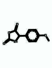 COc1ccc([CH]2[Zn][C](=O)OC2=O)cc1